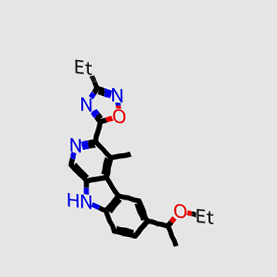 CCOC(C)c1ccc2[nH]c3cnc(-c4nc(CC)no4)c(C)c3c2c1